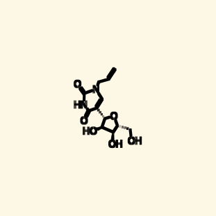 C=CCn1cc([C@@H]2O[C@H](CO)[C@@H](O)[C@H]2O)c(=O)[nH]c1=O